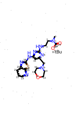 CN(CCNc1nc(CN2CCOCC2)cc(Nc2nc3cccnc3s2)n1)C(=O)OC(C)(C)C